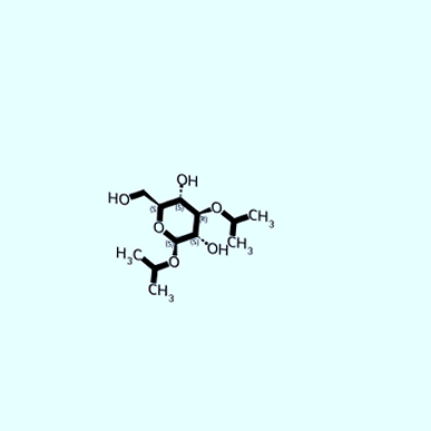 CC(C)O[C@H]1O[C@@H](CO)[C@H](O)[C@@H](OC(C)C)[C@@H]1O